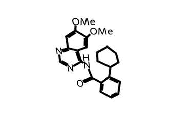 COc1cc2ncnc(NC(=O)c3ccccc3C3CCCCC3)c2cc1OC